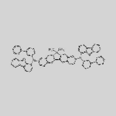 CC1(C)c2cc3cc(N(c4cccc(-c5ccccc5)c4)c4cccc5c4oc4ccccc45)ccc3cc2-c2cc3ccc(N(c4cccc(-c5ccccc5)c4)c4cccc5c4oc4ccccc45)cc3cc21